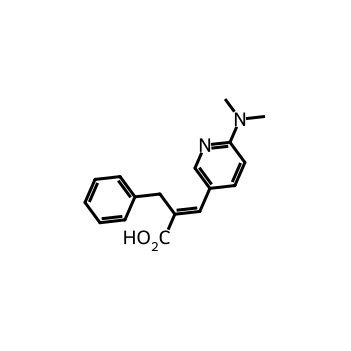 CN(C)c1ccc(C=C(Cc2ccccc2)C(=O)O)cn1